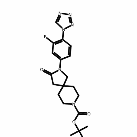 CC(C)(C)OC(=O)N1CCC2(CC1)CC(=O)N(c1ccc(-n3cnnn3)c(F)c1)C2